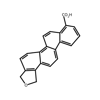 O=C(O)c1cccc2c1ccc1c3ccc4c(c3ccc21)COC4